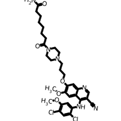 COc1cc(Nc2c(C#N)cnc3cc(OCCCN4CCN(C(=O)CCCCCCC(N)=O)CC4)c(OC)cc23)c(Cl)cc1Cl